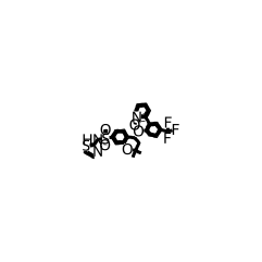 CC1(C)CC(Oc2ccc(C(F)(F)F)cc2-c2cccc[n+]2[O-])c2ccc(S(=O)(=O)Nc3nccs3)cc2O1